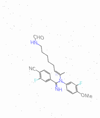 COc1ccc(N(C(=N)c2ccc(C#N)c(F)c2)/C(C)=C/CCCCCNC=O)cc1F